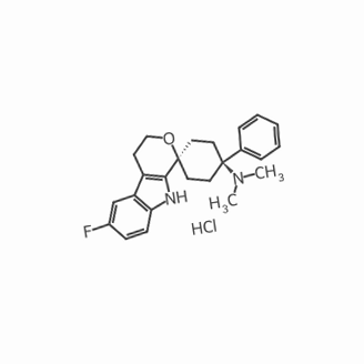 CN(C)[C@]1(c2ccccc2)CC[C@@]2(CC1)OCCc1c3cc(F)ccc3[nH]c12.Cl